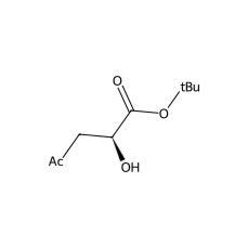 CC(=O)C[C@H](O)C(=O)OC(C)(C)C